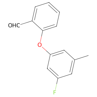 Cc1cc(F)cc(Oc2ccccc2C=O)c1